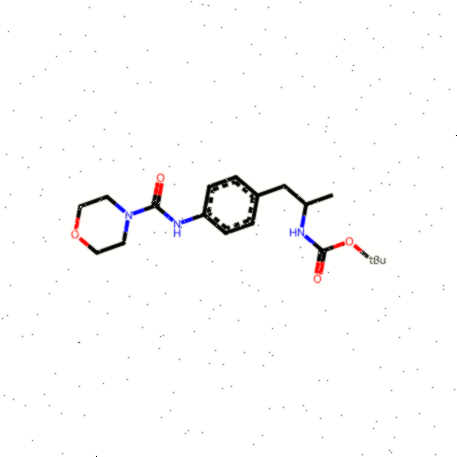 CC(Cc1ccc(NC(=O)N2CCOCC2)cc1)NC(=O)OC(C)(C)C